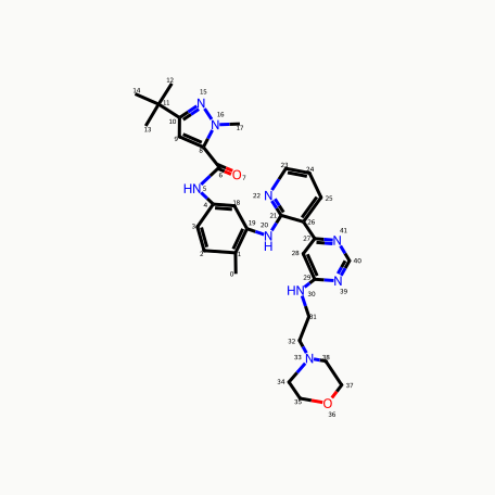 Cc1ccc(NC(=O)c2cc(C(C)(C)C)nn2C)cc1Nc1ncccc1-c1cc(NCCN2CCOCC2)ncn1